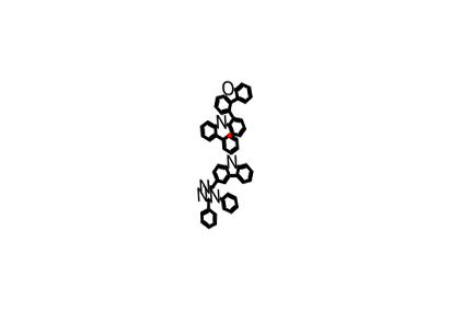 c1ccc(-c2nnc(-c3ccc4c(c3)c3ccccc3n4-c3cccc(-c4ccccc4-n4c5ccccc5c5c6c(ccc54)oc4ccccc46)c3)n2-c2ccccc2)cc1